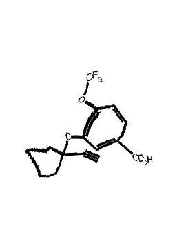 C#CC1(Oc2cc(C(=O)O)ccc2OC(F)(F)F)CCCC1